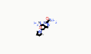 NC(=O)c1ncc(CCN2CCCC2)c(C(N)=O)n1